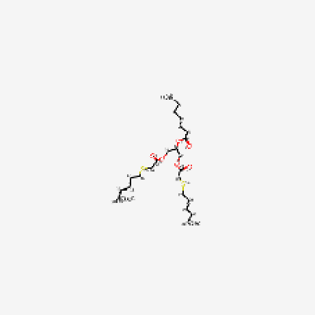 CCCCCCCCCCCCCCCC(=O)OC(COC(=O)CSCCCCCCCCCCCCCC)COC(=O)CSCCCCCCCCCCCCCC